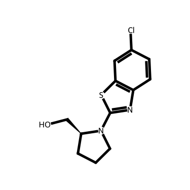 OC[C@@H]1CCCN1c1nc2ccc(Cl)cc2s1